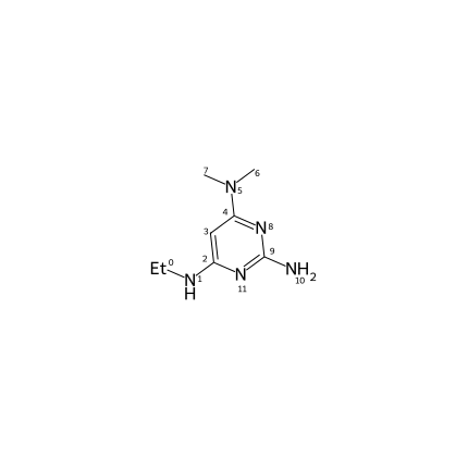 CCNc1cc(N(C)C)nc(N)n1